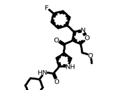 COCc1onc(-c2ccc(F)cc2)c1C(=O)c1c[nH]c(C(=O)NC2CCOCC2)c1